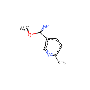 COC(=N)c1ccc(C)nc1